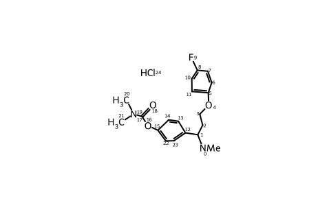 CNC(CCOc1ccc(F)cc1)c1ccc(OC(=O)N(C)C)cc1.Cl